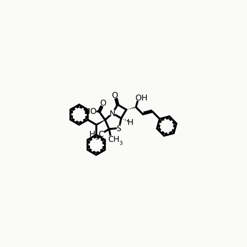 CC1(C)S[C@@H]2[C@@H](C(O)/C=C/c3ccccc3)C(=O)N2[C@]1(C(=O)O)C(c1ccccc1)c1ccccc1